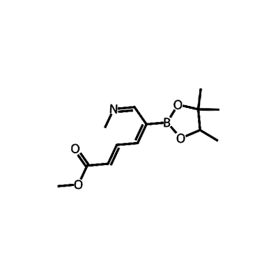 C\N=C/C(=C\C=C\C(=O)OC)B1OC(C)C(C)(C)O1